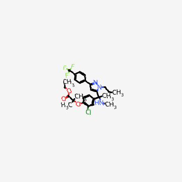 CCCn1nc(-c2ccc(C(F)(F)F)cc2)cc1C(C)(NC)c1ccc(OC(C)(C)C(=O)OCC)c(Cl)c1